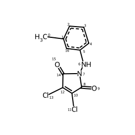 Cc1cccc(NN2C(=O)C(Cl)=C(Cl)C2=O)c1